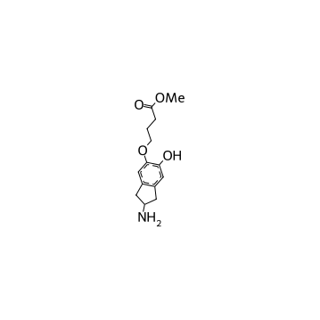 COC(=O)CCCOc1cc2c(cc1O)CC(N)C2